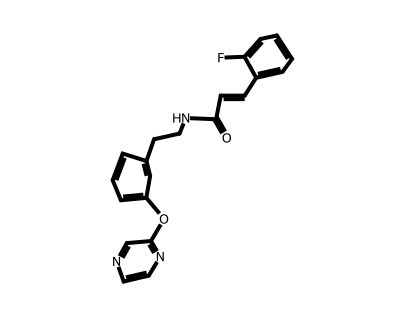 O=C(C=Cc1ccccc1F)NCCc1cccc(Oc2cnccn2)c1